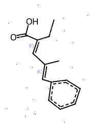 CC/C(=C\C(C)=C\c1ccccc1)C(=O)O